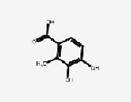 Cc1c(C(=O)O)ccc(O)c1O